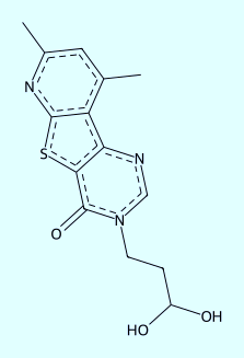 Cc1cc(C)c2c(n1)sc1c(=O)n(CCC(O)O)cnc12